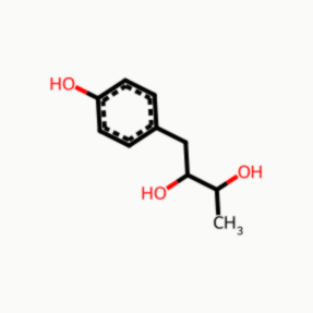 CC(O)C(O)Cc1ccc(O)cc1